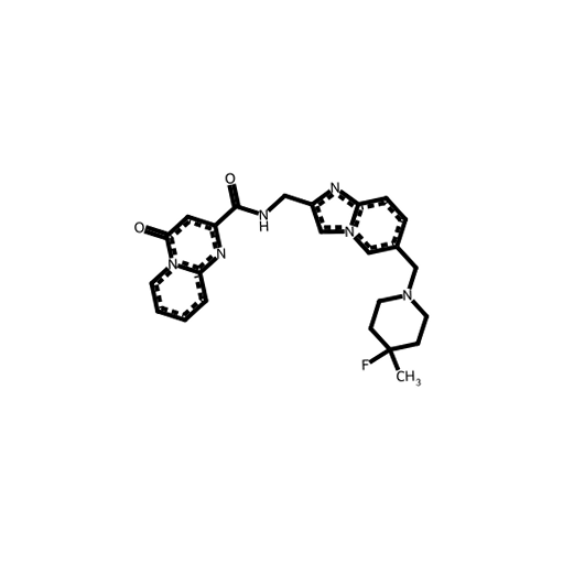 CC1(F)CCN(Cc2ccc3nc(CNC(=O)c4cc(=O)n5ccccc5n4)cn3c2)CC1